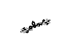 COC(=O)N[C@H](C(=O)N1CCC[C@H]1c1ncc(-c2ccc(-c3ccc(-c4ccc5nc([C@@H]6CCCN6C(=O)[C@@H](NC(=O)OC)C(C)C)[nH]c5c4)c4c3C3CC(C)CC4N3)nc2)[nH]1)C(C)C